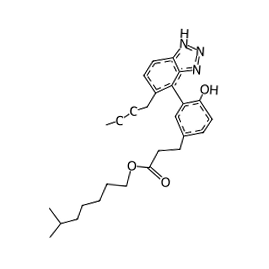 CCCCc1ccc2[nH]nnc2c1-c1cc(CCC(=O)OCCCCCC(C)C)ccc1O